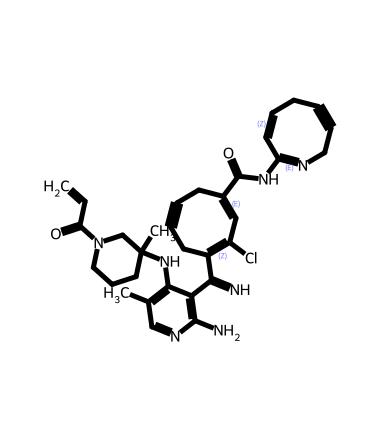 C=CC(=O)N1CCCC(C)(Nc2c(C)cnc(N)c2C(=N)/C2=C(Cl)/C=C(/C(=O)NC3=N/CC#CC/C=C\3)CC#CC2)C1